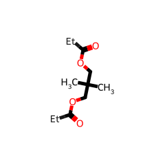 CCC(=O)OCC(C)(C)COC(=O)CC